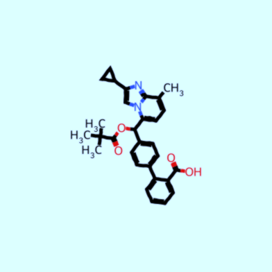 Cc1ccc(C(OC(=O)C(C)(C)C)c2ccc(-c3ccccc3C(=O)O)cc2)n2cc(C3CC3)nc12